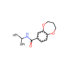 CCCC(CCC)NC(=O)c1ccc2c(c1)OCCCO2